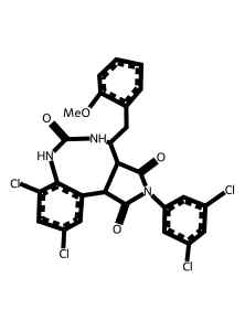 COc1ccccc1CC1NC(=O)Nc2c(Cl)cc(Cl)cc2C2C(=O)N(c3cc(Cl)cc(Cl)c3)C(=O)C12